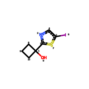 OC1(c2ncc(I)s2)CCC1